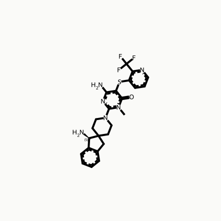 Cn1c(N2CCC3(CC2)Cc2ccccc2[C@H]3N)nc(N)c(Sc2cccnc2C(F)(F)F)c1=O